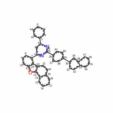 c1ccc(-c2cc(-c3cccc4oc5c6ccccc6ccc5c34)nc(-c3ccc(-c4ccc5ccccc5c4)cc3)n2)cc1